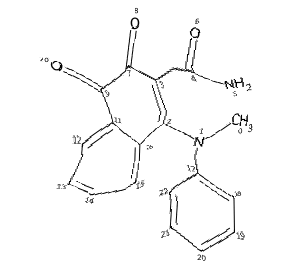 CN(C1=C(C(N)=O)C(=O)C(=O)c2ccccc21)c1ccccc1